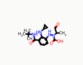 CC(C=O)N(Nc1cccc(C(=O)NC(C)(C)C)c1NC1CC1)C(=O)O